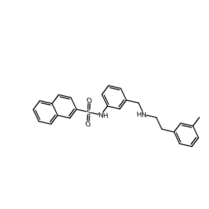 Cc1cccc(CCNCc2cccc(NS(=O)(=O)c3ccc4ccccc4c3)c2)c1